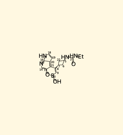 CCNC(=O)N[C@H]1C[C@@H](C2=CB(O)Oc3cnc4[nH]ccc4c32)C1